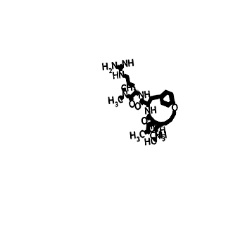 CC(C)C[C@H]1C(=O)NC(C(=O)N[C@@H](CCCNC(=N)N)C(=O)N(C)C)Cc2ccc(cc2)OCCC[C@@H]1C(=O)NO